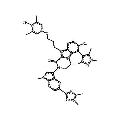 Cc1cc(OCCCc2c3n(c4c(-c5c(C)nn(C)c5C)c(Cl)ccc24)[C@H](C)CN(c2cn(C)c4ccc(-c5nc(C)n(C)n5)cc24)C3=O)cc(C)c1Cl